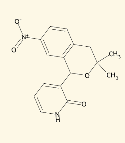 CC1(C)Cc2ccc([N+](=O)[O-])cc2C(c2ccc[nH]c2=O)O1